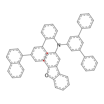 c1ccc(-c2cc(-c3ccccc3)cc(N(c3ccc4oc5ccccc5c4c3)c3ccccc3-c3cccc(-c4cccc5ccccc45)c3)c2)cc1